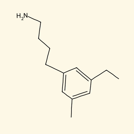 CCc1cc(C)cc(CCCCN)c1